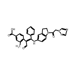 Cc1cc(C(=O)O)ccc1/C(C=O)=C(/Nc1ccc2c(c1)CCN2C(=O)Cn1cncn1)c1ccccc1